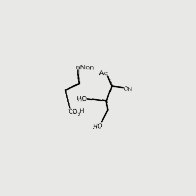 CC(=O)C(O)C(O)CO.CCCCCCCCCCCC(=O)O